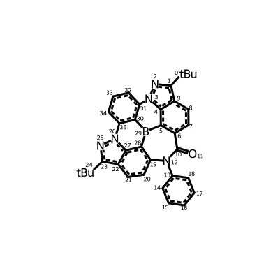 CC(C)(C)c1nn2c3c4c(ccc13)C(=O)N(c1ccccc1)c1ccc3c(C(C)(C)C)nn5c3c1B4c1c-2cccc1-5